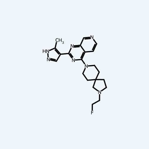 Cc1[nH]ncc1-c1nc(N2CCC3(CCN(CCF)C3)CC2)c2ccncc2n1